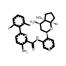 Nc1ccc(-c2c(F)cccc2F)nc1C(=O)Nc1cnccc1[C@H]1C[C@@H](N)[C@@]2(O)CCC[C@H]2O1